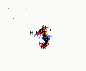 COc1ccc(OC)c(C(=O)c2sc(Nc3ccc(C(=O)NC4CCOC4=O)cc3)c(C#N)c2N)c1